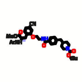 COC(=O)/C(=C\c1ccc(C#N)cc1OCCNC(=O)c1ccc(CC2CCN(C(=O)OC(C)(C)C)CC2)cc1)NC(C)=O